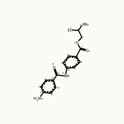 CCCCC(CC)COC(=O)c1ccc(NC(=O)c2ccc(N)cc2)cc1